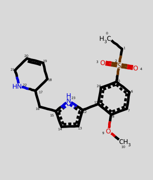 CCS(=O)(=O)c1ccc(OC)c(-c2ccc(CC3CC=CCN3)[nH]2)c1